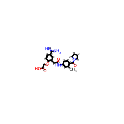 Cc1cc(NC(=O)Cc2cc(C(=N)N)ccc2OCC(=O)O)ccc1C(=O)N1CCCC1